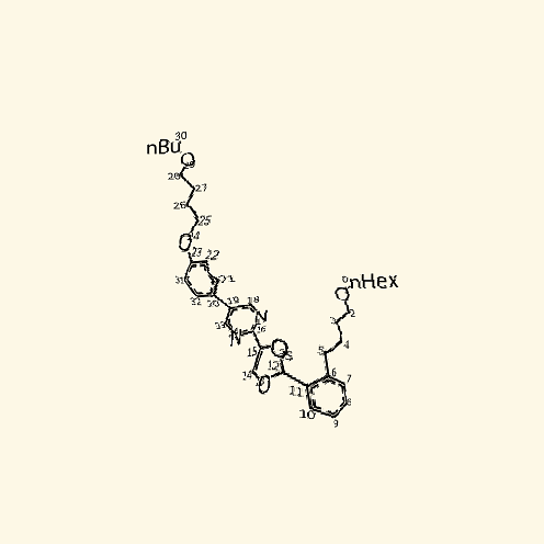 CCCCCCOCCCCc1ccccc1C1OC=C(c2ncc(-c3ccc(OCCCCOCCCC)cc3)cn2)O1